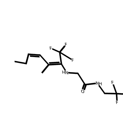 CC/C=C\C(C)=C(\NCC(=O)NCC(F)(F)F)C(F)(F)F